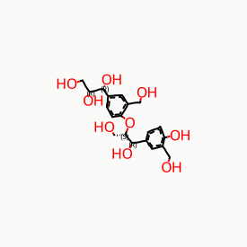 OCc1cc([C@@H](O)[C@H](CO)Oc2ccc([C@@H](O)[C@H](O)CO)cc2CO)ccc1O